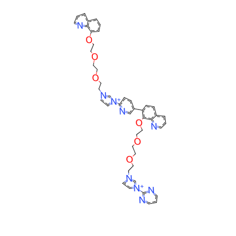 c1cnc(-[n+]2ccn(CCOCCOCCOc3c(-c4ccc(-[n+]5ccn(CCOCCOCCOc6cccc7cccnc67)c5)nc4)ccc4cccnc34)c2)nc1